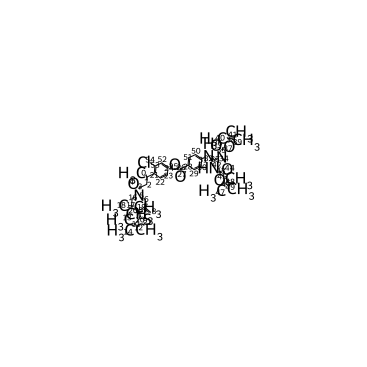 CC(CC(=O)N(Cc1csc(C(C)(C)C)c1)CC(C)(C)C)c1ccc(OC(=O)c2ccc(N/C(=N\C(=O)OC(C)(C)C)NC(=O)OC(C)(C)C)cc2)cc1Cl